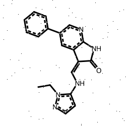 CCn1nccc1N/C=C1\C(=O)Nc2ncc(-c3ccccc3)cc21